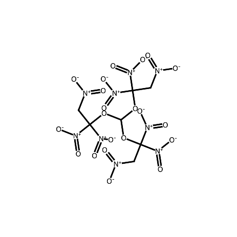 O=[N+]([O-])CC(OC(OC(C[N+](=O)[O-])([N+](=O)[O-])[N+](=O)[O-])OC(C[N+](=O)[O-])([N+](=O)[O-])[N+](=O)[O-])([N+](=O)[O-])[N+](=O)[O-]